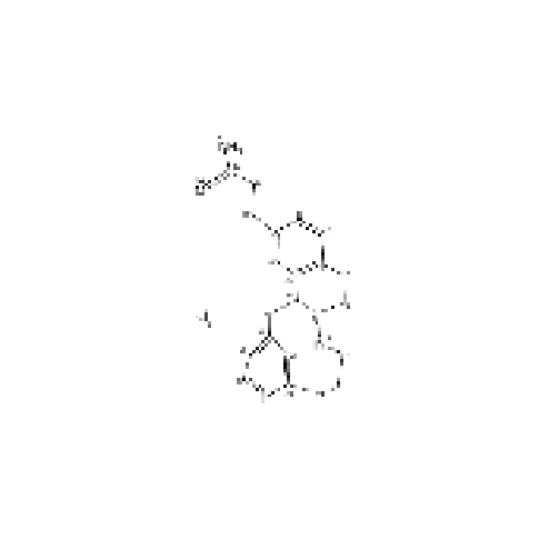 CCNC1CCc2ccc(CCC(N)=O)cc2C1Cc1cccc(F)c1.Cl